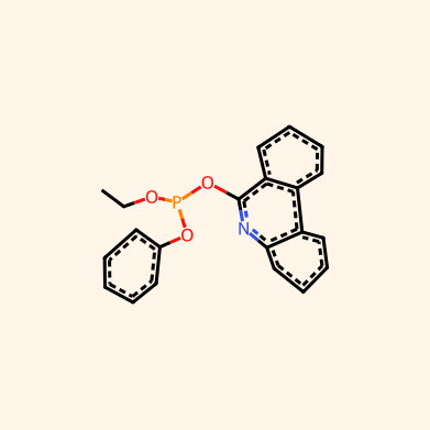 CCOP(Oc1ccccc1)Oc1nc2ccccc2c2ccccc12